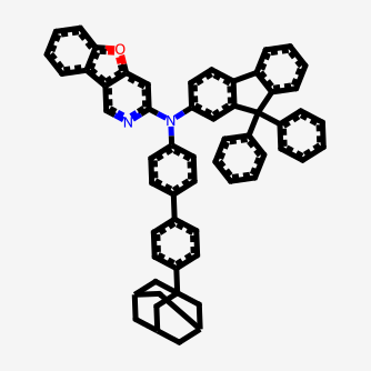 c1ccc(C2(c3ccccc3)c3ccccc3-c3ccc(N(c4ccc(-c5ccc(C67CC8CC(CC(C8)C6)C7)cc5)cc4)c4cc5oc6ccccc6c5cn4)cc32)cc1